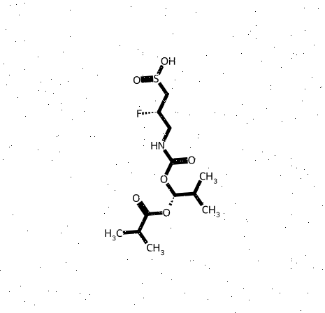 CC(C)C(=O)O[C@H](OC(=O)NC[C@H](F)CS(=O)O)C(C)C